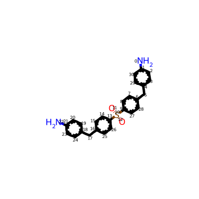 Nc1ccc(Cc2ccc(S(=O)(=O)c3ccc(Cc4ccc(N)cc4)cc3)cc2)cc1